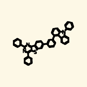 c1ccc(-c2nc(-c3ccccc3)c3sc4cc(-c5cccc(-c6cccc7c6c6ccccc6n7-c6ccccc6)c5)ccc4c3n2)cc1